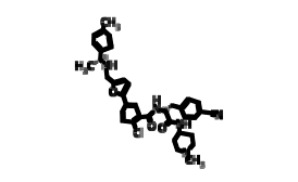 Cc1ccc([C@@H](C)NCc2ccc(-c3ccc(Cl)c(C(=O)N[C@H](Cc4ccc(C#N)cc4)C(=O)NC4CCN(C)CC4)c3)o2)cc1